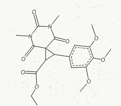 CCOC(=O)C1C(c2cc(OC)c(OC)c(OC)c2)C12C(=O)N(C)C(=O)N(C)C2=O